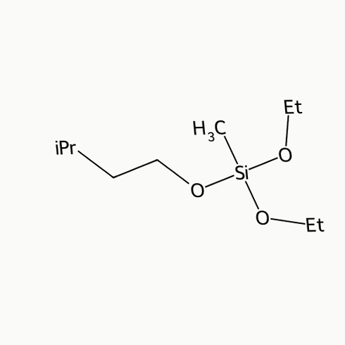 CCO[Si](C)(OCC)OCCC(C)C